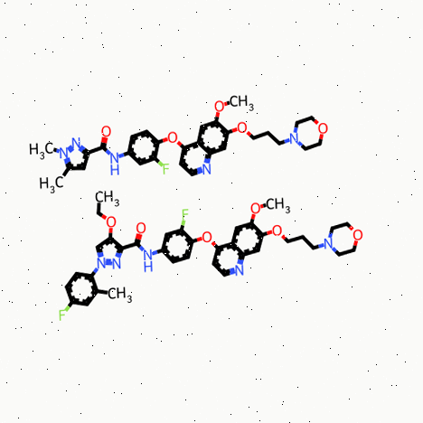 CCOc1cn(-c2ccc(F)cc2C)nc1C(=O)Nc1ccc(Oc2ccnc3cc(OCCCN4CCOCC4)c(OC)cc23)c(F)c1.COc1cc2c(Oc3ccc(NC(=O)c4cc(C)n(C)n4)cc3F)ccnc2cc1OCCCN1CCOCC1